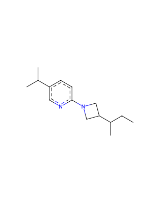 CCC(C)C1CN(c2ccc(C(C)C)cn2)C1